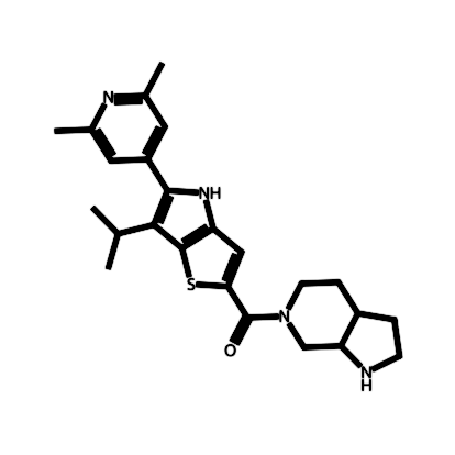 Cc1cc(-c2[nH]c3cc(C(=O)N4CCC5CCNC5C4)sc3c2C(C)C)cc(C)n1